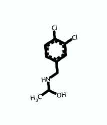 CC(O)NCc1ccc(Cl)c(Cl)c1